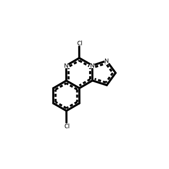 Clc1ccc2nc(Cl)n3nccc3c2c1